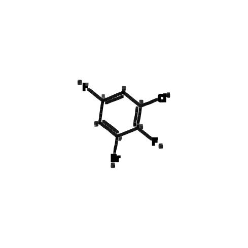 Fc1cc(Cl)c(F)c(Br)c1